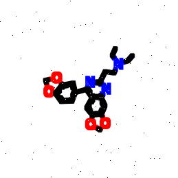 CCN(CC)CCc1nc(-c2ccc3c(c2)OCO3)c2cc3c(cc2n1)OCO3